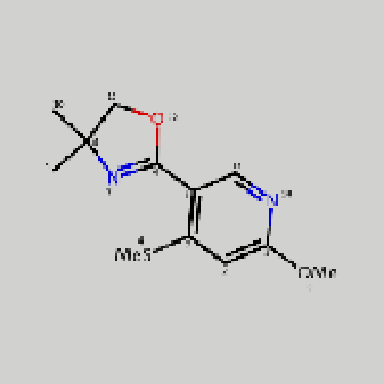 COc1cc(SC)c(C2=NC(C)(C)CO2)cn1